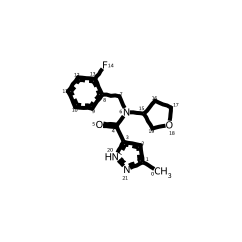 Cc1cc(C(=O)N(Cc2ccccc2F)C2CCOC2)[nH]n1